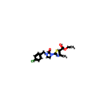 CCOC(=O)c1sc(N2CCN(Cc3ccc(Cl)cc3)C2=O)nc1C